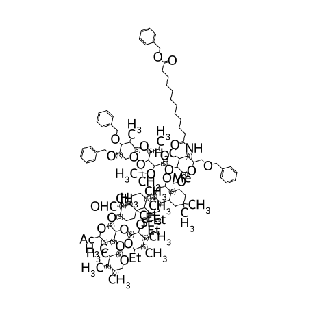 CCC1O[C@@H](OC2[C@H](O[C@H]3CCC4(C)C5CC=C6C7CC(C)(C)CC[C@]7(CO[C@@H]7OC(COCc8ccccc8)[C@H](NC(=O)CCCCCCCCCCC(=O)OCc8ccccc8)C(C)C7O[C@@H]7OC(C)[C@H](O[C@@H]8OC[C@@H](OCc9ccccc9)C(OCc9ccccc9)C8C)C8OC(C)(C)OC87)C(OC)C[C@@]6(C)[C@@]5(C)CC[C@H]4[C@@]3(C)C=O)OC(C(C)=O)[C@@H](C)[C@@H]2O[C@@H]2OC[C@@H](C)[C@@H](C)C2C)C(O[Si](CC)(CC)CC)[C@@H](C)[C@@H]1C